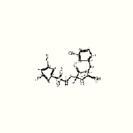 CC1(CNS(=O)(=O)c2cc(F)cc(F)c2)NC(=N)N(Cc2cccc(Cl)c2)C1=O